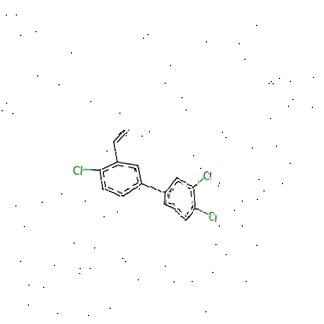 [CH]=Cc1cc(-c2ccc(Cl)c(Cl)c2)ccc1Cl